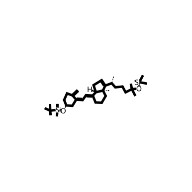 C=C1CC[C@@H](O[Si](C)(C)C(C)(C)C)C/C1=C/C=C1\CCC[C@]2(C)C([C@H](C)CCCC(C)(C)O[Si](C)(C)C)=CC[C@@H]12